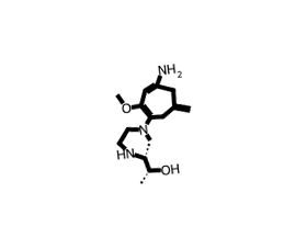 C=C1CC(N)=CC(OC)=C(N2CCN[C@@H]([C@@H](C)O)C2)C1